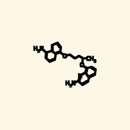 CC(CCCOc1cccc2c(N)cccc12)Oc1cccc2ccc(N)nc12